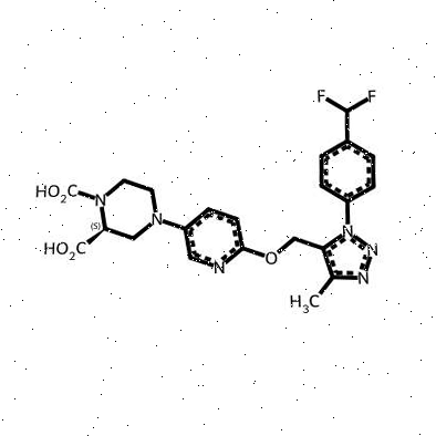 Cc1nnn(-c2ccc(C(F)F)cc2)c1COc1ccc(N2CCN(C(=O)O)[C@H](C(=O)O)C2)cn1